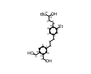 CCc1cc(CCCc2ccc(CO)c(CO)c2)ccc1SCC(O)C(C)(C)C